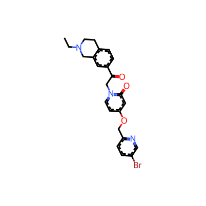 CCN1CCc2ccc(C(=O)Cn3ccc(OCc4ccc(Br)cn4)cc3=O)cc2C1